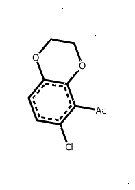 CC(=O)c1c(Cl)ccc2c1OCCO2